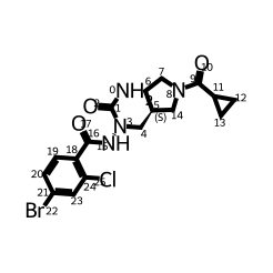 NC(=O)N(C[C@H]1CCN(C(=O)C2CC2)C1)NC(=O)c1ccc(Br)cc1Cl